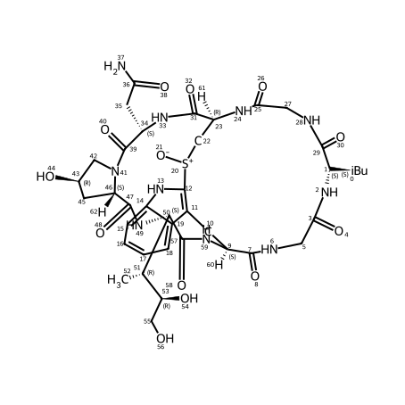 CC[C@H](C)[C@@H]1NC(=O)CNC(=O)[C@@H]2Cc3c([nH]c4ccccc34)[S+]([O-])C[C@H](NC(=O)CNC1=O)C(=O)N[C@@H](CC(N)=O)C(=O)N1C[C@H](O)C[C@H]1C(=O)N[C@@H]([C@@H](C)[C@@H](O)CO)C(=O)N2